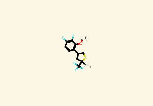 COc1c(C2CSC(C)(C(F)(F)F)C2)ccc(F)c1F